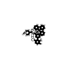 Cc1ccc(Cl)c(-c2ccc3c(c2)c(NC(=O)C2CCN(C)CC2)nn3C(c2ccccc2)(c2ccccc2)c2ccccc2)c1F